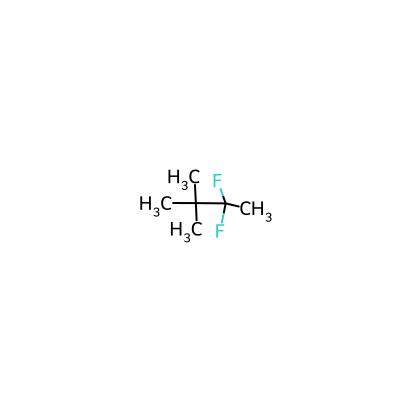 CC(C)(C)C(C)(F)F